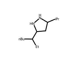 CCCCC(CC)C1CC(C(C)C)NN1